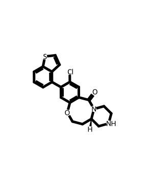 O=C1c2cc(Cl)c(-c3cccc4sccc34)cc2OCC[C@H]2CNCCN12